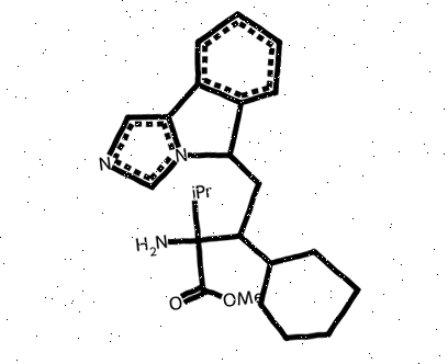 COC(=O)C(N)(C(C)C)C(CC1c2ccccc2-c2cncn21)C1CCCCC1